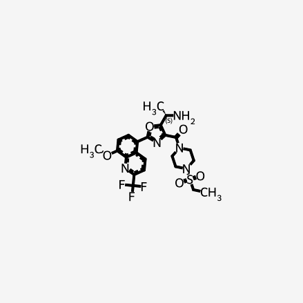 CCS(=O)(=O)N1CCN(C(=O)c2nc(-c3ccc(OC)c4nc(C(F)(F)F)ccc34)oc2[C@H](C)N)CC1